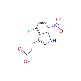 O=C(O)CCc1c[nH]c2c([N+](=O)[O-])ccc(F)c12